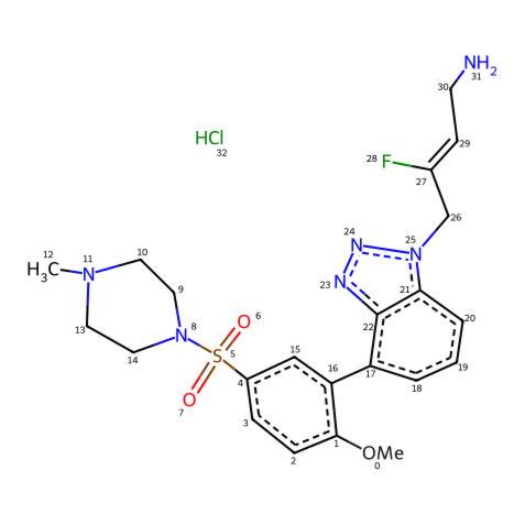 COc1ccc(S(=O)(=O)N2CCN(C)CC2)cc1-c1cccc2c1nnn2C/C(F)=C/CN.Cl